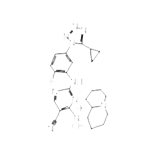 CN(c1nc(Nc2cc(-n3nnnc3C3CC3)ccc2F)ncc1C#N)[C@H]1CCCN2CCCC[C@H]12